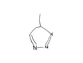 CC1C=NN=N1